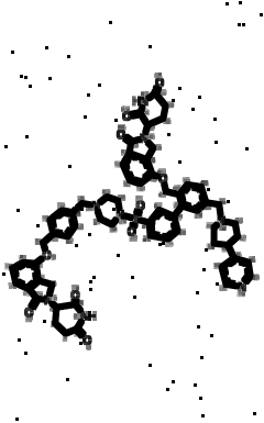 O=C1CCC(N2Cc3c(OCc4ccc(CN5CCN(S(=O)(=O)c6cccc(-c7cc(CN8CCC(c9ccncc9)CC8)ccc7COc7cccc8c7CN(C7CCC(=O)NC7=O)C8=O)c6)CC5)cc4)cccc3C2=O)C(=O)N1